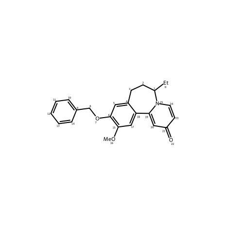 CCC1CCc2cc(OCc3ccccc3)c(OC)cc2-c2cc(=O)ccn21